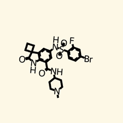 CN1CCC(NC(=O)c2cc(NS(=O)(=O)c3ccc(Br)cc3F)cc3c2NC(=O)C32CCC2)CC1